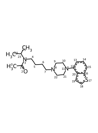 CC(=O)N(CCCCN1CCN(c2cccc3sccc23)CC1)C(C)C